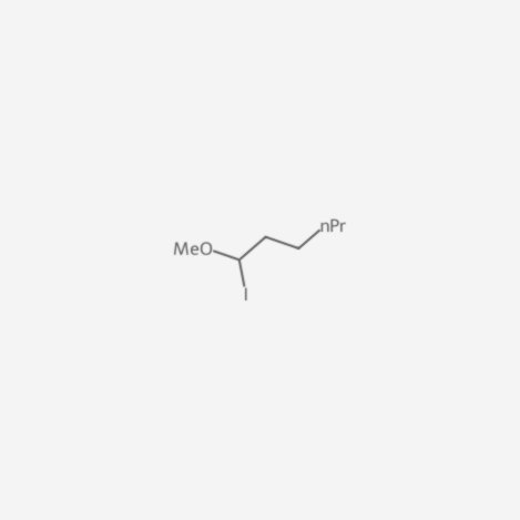 CCCCCC(I)OC